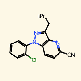 CC(C)Cc1nn(-c2ccccc2Cl)c2ccc(C#N)nc12